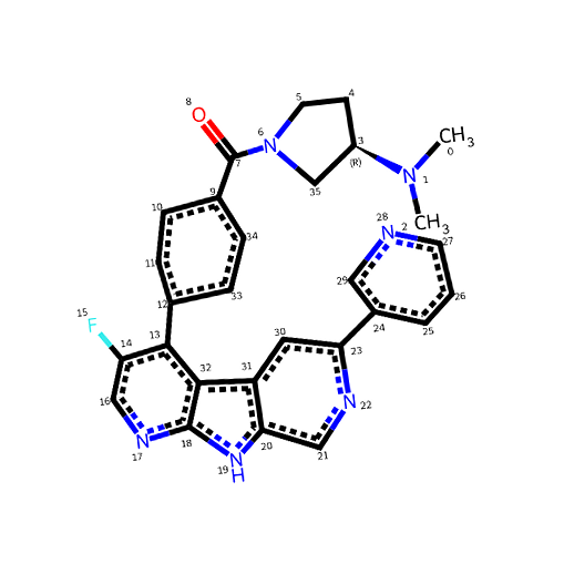 CN(C)[C@@H]1CCN(C(=O)c2ccc(-c3c(F)cnc4[nH]c5cnc(-c6cccnc6)cc5c34)cc2)C1